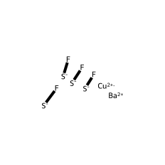 F[S-].F[S-].F[S-].F[S-].[Ba+2].[Cu+2]